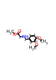 COC(=O)CNCc1ccc(OC)c(OC)c1